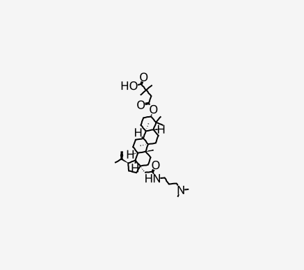 C=C(C)[C@@H]1CC[C@]2(CC(=O)NCCCN(C)C)CC[C@]3(C)[C@H](CC[C@@H]4[C@@]5(C)CC[C@H](OC(=O)CC(C)(C)C(=O)O)C(C)(C)[C@@H]5CC[C@]43C)[C@@H]12